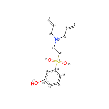 C=CCN(CC=C)CCS(=O)(=O)c1cccc(O)c1